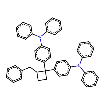 c1ccc(CC2CCC2(c2ccc(N(c3ccccc3)c3ccccc3)cc2)c2ccc(N(c3ccccc3)c3ccccc3)cc2)cc1